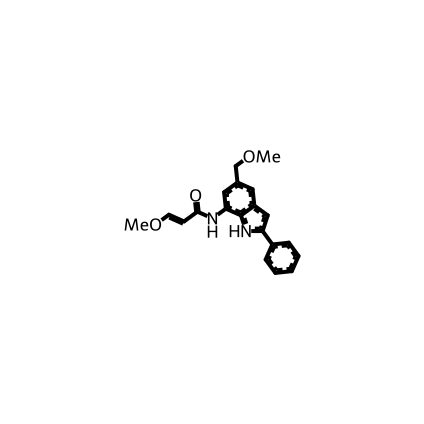 COC=CC(=O)Nc1cc(COC)cc2cc(-c3ccccc3)[nH]c12